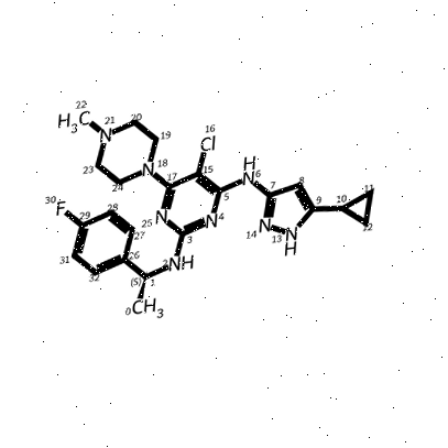 C[C@H](Nc1nc(Nc2cc(C3CC3)[nH]n2)c(Cl)c(N2CCN(C)CC2)n1)c1ccc(F)cc1